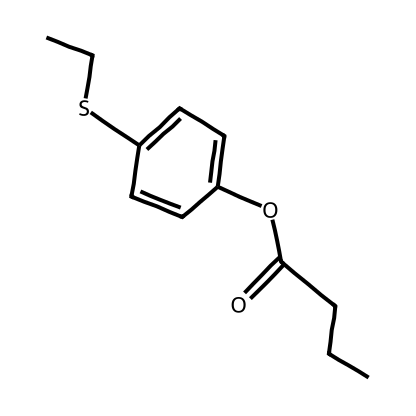 CCCC(=O)Oc1ccc(SCC)cc1